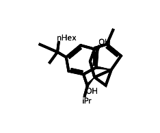 CCCCCCC(C)(C)c1cc(O)c([C@]23C=C(C)CC[C@@]2(CC(C)C)C3)c(O)c1